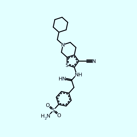 N#Cc1c(NC(=N)Cc2ccc(S(N)(=O)=O)cc2)sc2c1CCN(CC1CCCCC1)C2